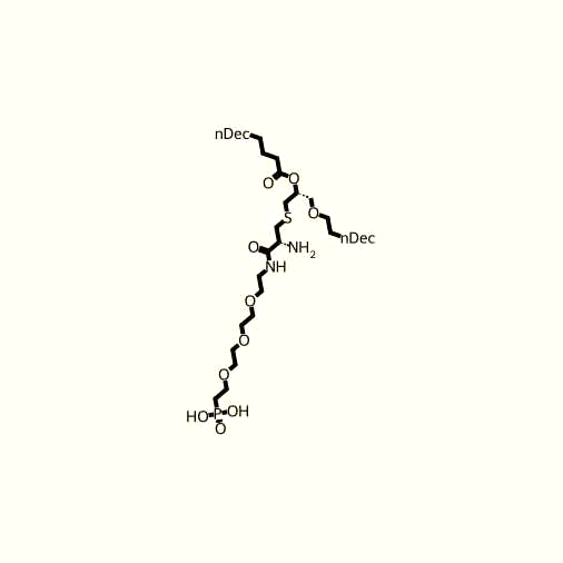 CCCCCCCCCCCCCC(=O)O[C@H](COCCCCCCCCCCCC)CSC[C@H](N)C(=O)NCCOCCOCCOCCP(=O)(O)O